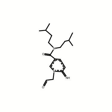 CC(C)CCN(CCC(C)C)C(=O)c1ccc(=N)n(CC=O)c1